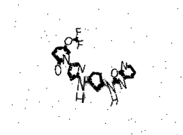 O=c1ccc(OC(F)F)cn1-c1ccc(N[C@H]2CC[C@H](Nc3nc4cccnc4o3)C2)nc1